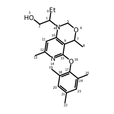 CCC(CO)N1COC(C)c2c1cc(C)nc2Oc1c(C)cc(C)cc1C